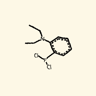 CCN(CC)c1ccccc1P(Cl)Cl